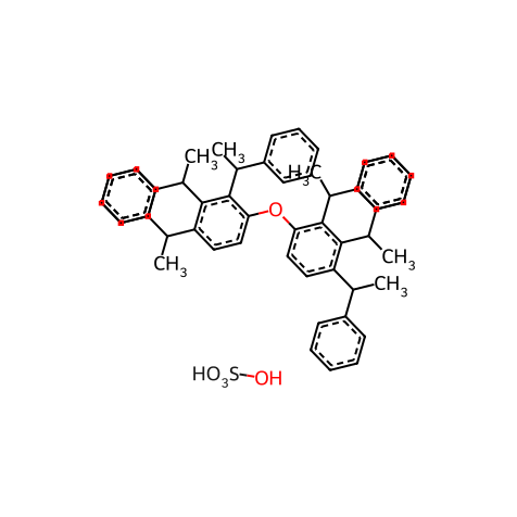 CC(c1ccccc1)c1ccc(Oc2ccc(C(C)c3ccccc3)c(C(C)c3ccccc3)c2C(C)c2ccccc2)c(C(C)c2ccccc2)c1C(C)c1ccccc1.O=S(=O)(O)O